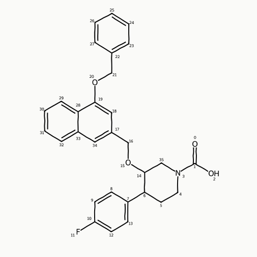 O=C(O)N1CCC(c2ccc(F)cc2)C(OCc2cc(OCc3ccccc3)c3ccccc3c2)C1